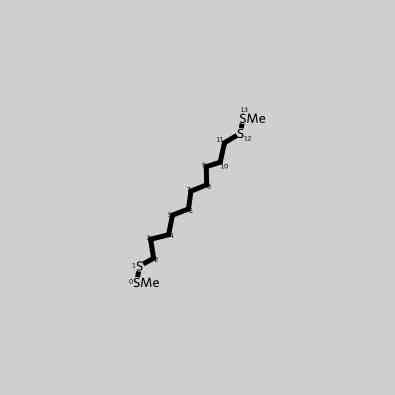 CSSCCCCCCCCCCSSC